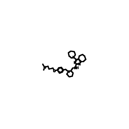 CN(C)CCCOc1ccc(CN2CCCCC2CNc2nc3c(c(N4CCCCCC4)n2)CCCCC3)cc1